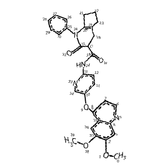 COc1cc2nccc(Oc3ccc(NC(=O)C4CC5=C(CCC5)N(c5ccccc5)C4=O)nc3)c2cc1OC